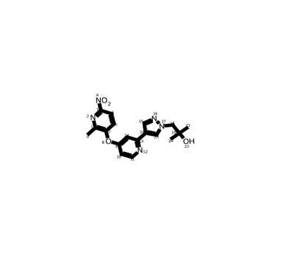 Cc1nc([N+](=O)[O-])ccc1Oc1ccnc(-c2cnn(CC(C)(C)O)c2)c1